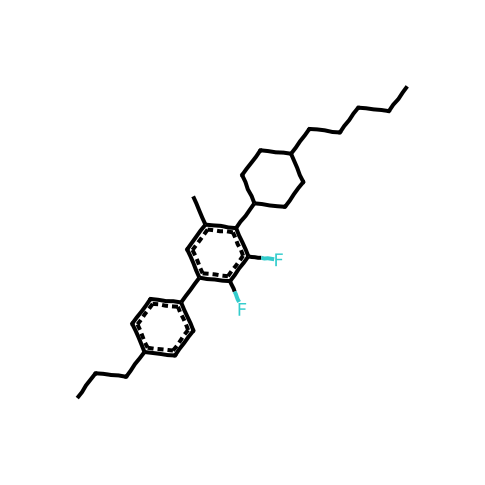 CCCCCC1CCC(c2c(C)cc(-c3ccc(CCC)cc3)c(F)c2F)CC1